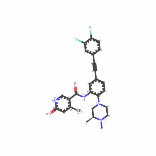 C[C@H]1CN(c2ccc(C#Cc3ccc(F)c(F)c3)cc2NC(=O)c2c[nH]c(=O)cc2C(F)(F)F)CCN1C